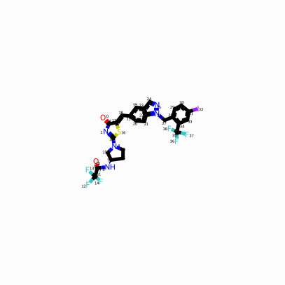 O=C1N=C(N2CC[C@H](NC(=O)C(F)(F)F)C2)S/C1=C\c1ccc2c(cnn2Cc2ccc(I)cc2C(F)(F)F)c1